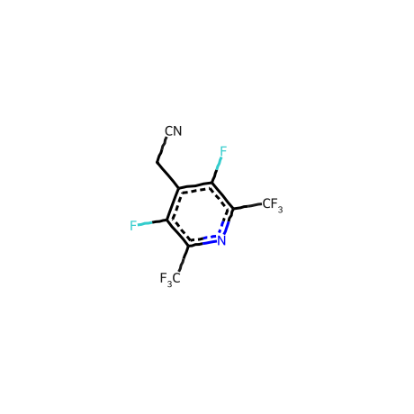 N#CCc1c(F)c(C(F)(F)F)nc(C(F)(F)F)c1F